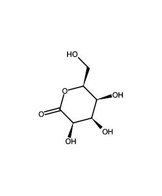 O=C1O[C@@H](CO)[C@@H](O)[C@@H](O)[C@H]1O